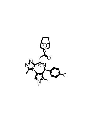 Cc1c2c(cn1C)-n1c(C)nnc1[C@H](CC(=O)N1CC3CCC(C1)O3)N=C2c1ccc(Cl)cc1